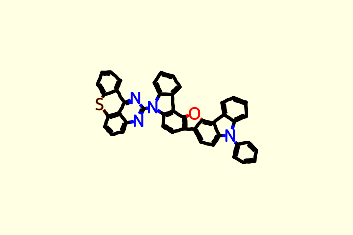 c1ccc(-n2c3ccccc3c3c4oc5c(ccc6c5c5ccccc5n6-c5nc6c7c(cccc7n5)Sc5ccccc5-6)c4ccc32)cc1